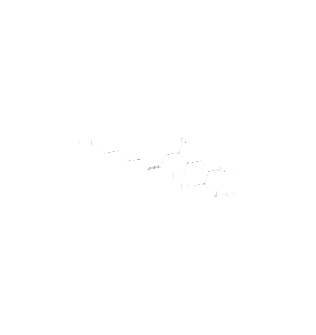 CCCCCC(O)C(CC(O)C(C/C=C\CCCCC=O)[N+](=O)[O-])[N+](=O)[O-]